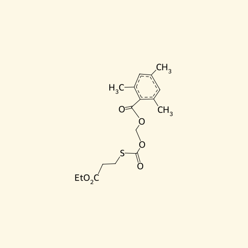 CCOC(=O)CCSC(=O)OCOC(=O)c1c(C)cc(C)cc1C